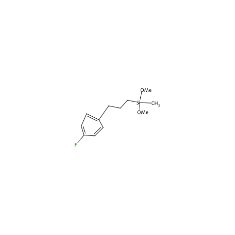 CO[Si](C)(CCCc1ccc(F)cc1)OC